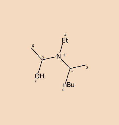 CCCCC(C)N(CC)C(C)O